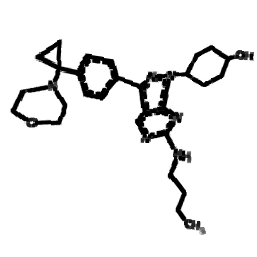 CCCCNc1ncc2c(-c3ccc(C4(N5CCOCC5)CC4)cc3)nn(C3CCC(O)CC3)c2n1